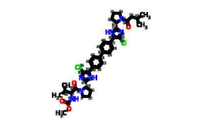 COC(=O)N[C@H](C(=O)N1CCC[C@H]1c1nc(Cl)c(-c2ccc(-c3ccc(-c4[nH]c([C@@H]5CCCN5C(=O)CC(C)C)nc4Cl)cc3)cc2)[nH]1)C(C)C